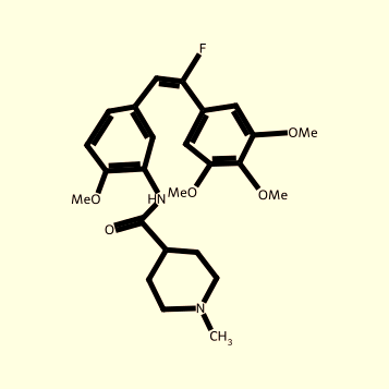 COc1ccc(/C=C(/F)c2cc(OC)c(OC)c(OC)c2)cc1NC(=O)C1CCN(C)CC1